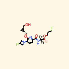 CCC(CC)(NC(=O)c1ccc(N2CC(F)C2)c(OC[C@@H]2C[C@H]2CO)n1)C(=O)OCCCF